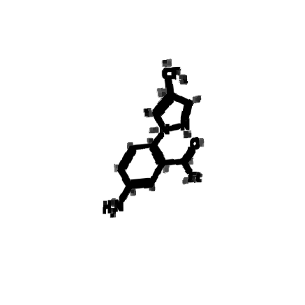 CCC(=O)c1cc(N)ccc1-n1cc(C(F)(F)F)cn1